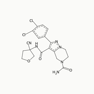 N#CC1(NC(=O)c2c(-c3ccc(Cl)c(Cl)c3)nn3c2CN(C(N)=O)CC3)CCOC1